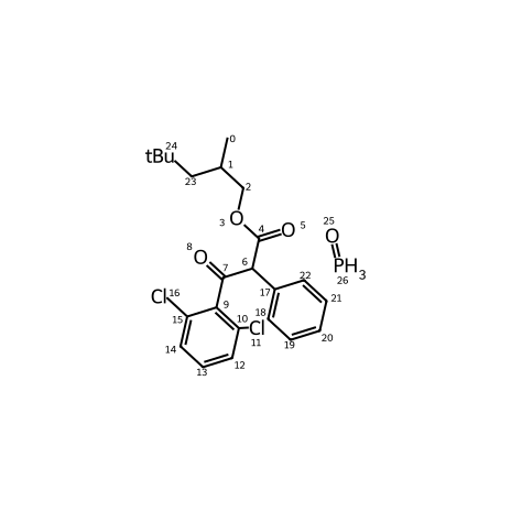 CC(COC(=O)C(C(=O)c1c(Cl)cccc1Cl)c1ccccc1)CC(C)(C)C.O=[PH3]